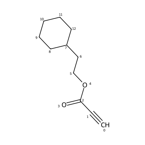 C#CC(=O)OCCC1CCCCC1